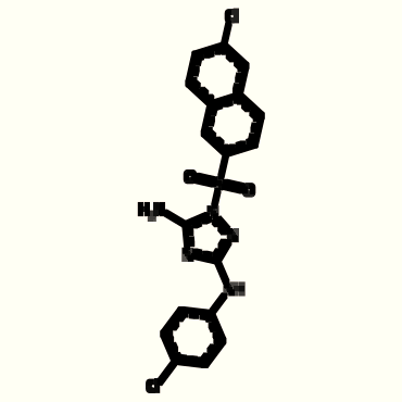 Nc1nc(Nc2ccc(Cl)cc2)nn1S(=O)(=O)c1ccc2cc(Cl)ccc2c1